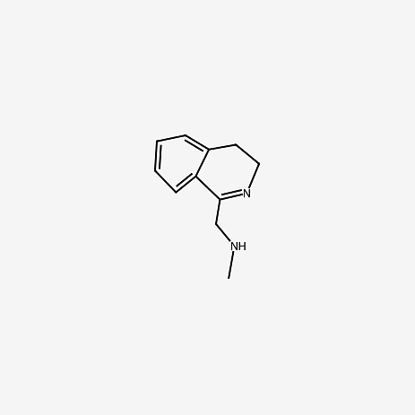 CNCC1=NCCc2ccccc21